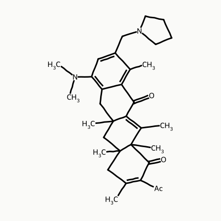 CC(=O)C1=C(C)CC2(C)CC3(C)Cc4c(N(C)C)cc(CN5CCCC5)c(C)c4C(=O)C3=C(C)C2(C)C1=O